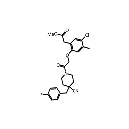 COC(=O)Cc1cc(Cl)c(C)cc1OCC(=O)N1CCC(C#N)(Cc2ccc(F)cc2)CC1